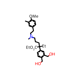 CCOC(=O)C(CC)(CCCN(C)CCc1ccc(OC)c(C)c1)c1ccc(CO)c(CO)c1